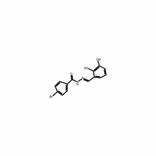 O=C(N/N=C/c1cccc(O)c1O)c1ccc(Br)cc1